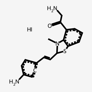 CN1c2c(cccc2C(=O)CN)SC1C=Cc1ccc(N)cc1.I